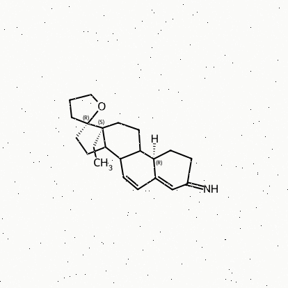 CC[C@]12CCC3C(C=CC4=CC(=N)CC[C@@H]43)C1CC[C@@]21CCCO1